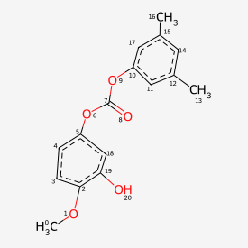 COc1ccc(OC(=O)Oc2cc(C)cc(C)c2)cc1O